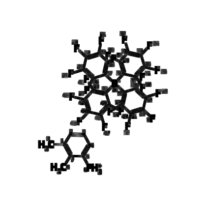 Cc1cccc([PH3+])c1C.Fc1c(F)c(F)c([B-](c2c(F)c(F)c(F)c(F)c2F)(c2c(F)c(F)c(F)c(F)c2F)c2c(F)c(F)c(F)c(F)c2F)c(F)c1F